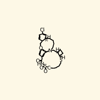 O=C1NS(=O)(=O)CCCCCS[C@H]2CC[C@H]2CN2CCCC[C@H]3C=C(Cl)C=CC3COc3ccc1cc32